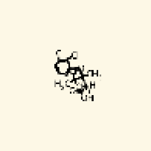 CC(C)(C)C(C)(NC(=O)O)Oc1cccc(Cl)c1Cl